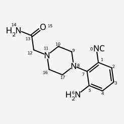 [C-]#[N+]c1cccc(N)c1N1CCN(CC(N)=O)CC1